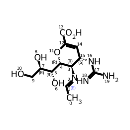 C/C=N/[C@H]1[C@H]([C@H](O)[C@H](O)CO)OC(C(=O)O)=C[C@@H]1NC(=N)N